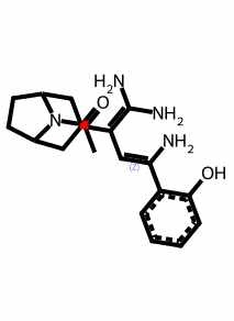 CC(=O)N1C2CCC1CC(C(/C=C(\N)c1ccccc1O)=C(N)N)C2